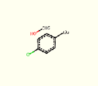 CC(C)(C)c1ccc(Cl)cc1.O=CO